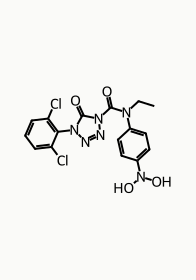 CCN(C(=O)n1nnn(-c2c(Cl)cccc2Cl)c1=O)c1ccc(N(O)O)cc1